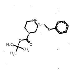 CC(C)(C)OC(=O)N1CCN[C@H](CSc2ccccc2)C1